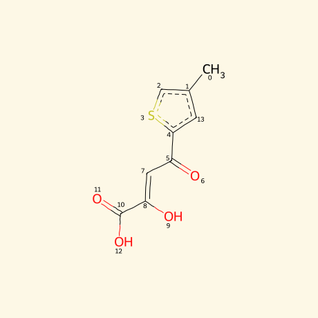 Cc1csc(C(=O)C=C(O)C(=O)O)c1